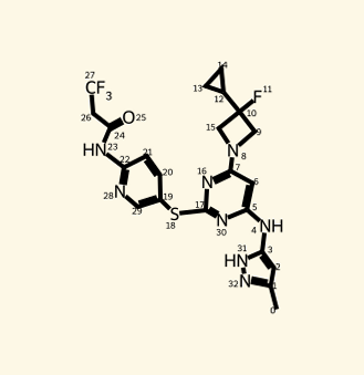 Cc1cc(Nc2cc(N3CC(F)(C4CC4)C3)nc(Sc3ccc(NC(=O)CC(F)(F)F)nc3)n2)[nH]n1